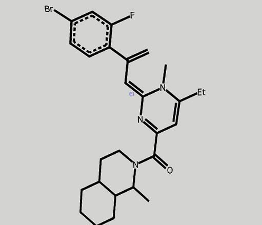 C=C(/C=C1/N=C(C(=O)N2CCC3CCCCC3C2C)C=C(CC)N1C)c1ccc(Br)cc1F